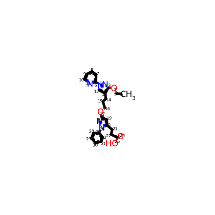 CCOc1nn(-c2ccccn2)cc1CCCOc1cc(CCC(=O)O)n(-c2ccccc2)n1